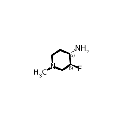 CN1CC[C@H](N)[C@@H](F)C1